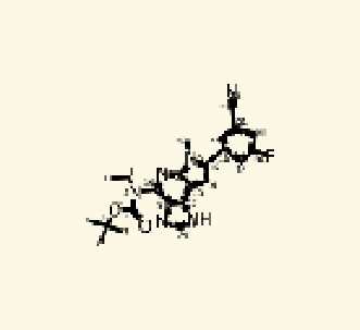 CCN(C(=O)OC(C)(C)C)c1nc2c(cc(-c3cc(F)cc(C#N)c3)n2C)c2[nH]cnc12